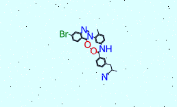 Cc1ccc(NC(=O)c2cccc(CC(C)C#N)c2)cc1-n1cnc2cc(Br)ccc2c1=O